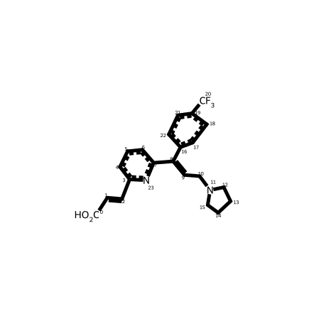 O=C(O)C=Cc1cccc(C(=CCN2CCCC2)c2ccc(C(F)(F)F)cc2)n1